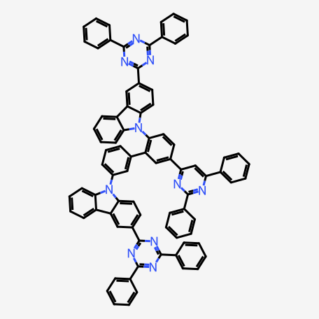 c1ccc(-c2cc(-c3ccc(-n4c5ccccc5c5cc(-c6nc(-c7ccccc7)nc(-c7ccccc7)n6)ccc54)c(-c4cccc(-n5c6ccccc6c6cc(-c7nc(-c8ccccc8)nc(-c8ccccc8)n7)ccc65)c4)c3)nc(-c3ccccc3)n2)cc1